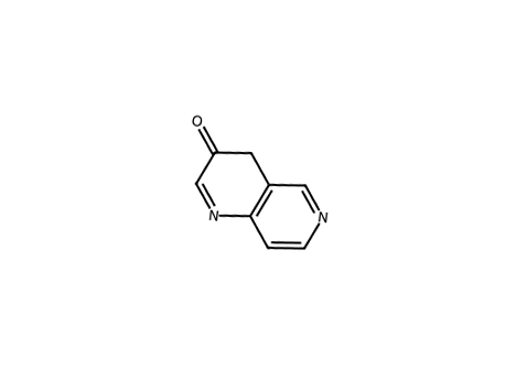 O=C1C=Nc2ccncc2C1